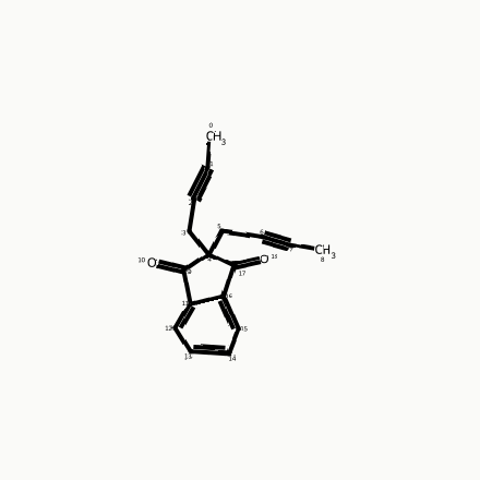 CC#CCC1(CC#CC)C(=O)c2ccccc2C1=O